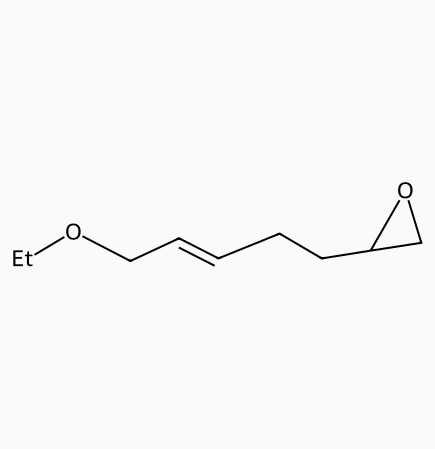 CCOCC=CCCC1CO1